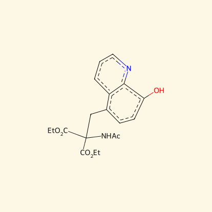 CCOC(=O)C(Cc1ccc(O)c2ncccc12)(NC(C)=O)C(=O)OCC